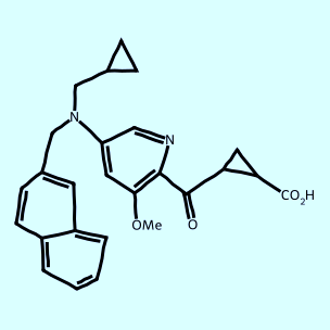 COc1cc(N(Cc2ccc3ccccc3c2)CC2CC2)cnc1C(=O)C1CC1C(=O)O